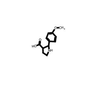 COc1ccc(C2NCCC2C(=O)O)cc1